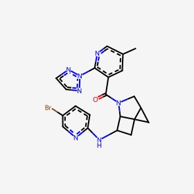 Cc1cnc(-n2nccn2)c(C(=O)N2CC3CC34CC(Nc3ccc(Br)cn3)C24)c1